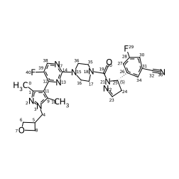 Cc1nn(CC2COC2)c(C)c1-c1nc(N2CCN(C(=O)N3N=CC[C@H]3c3cc(F)cc(C#N)c3)CC2)ncc1F